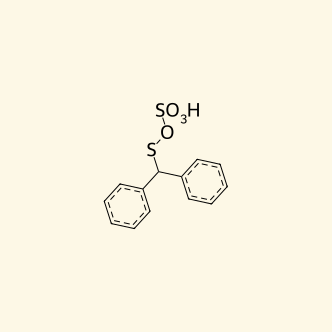 O=S(=O)(O)OSC(c1ccccc1)c1ccccc1